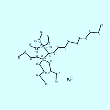 CCCCCCCCCCC([N+](CCCC)(CCCC)CCCC)[Si](OC)(OC)OC.[Br-]